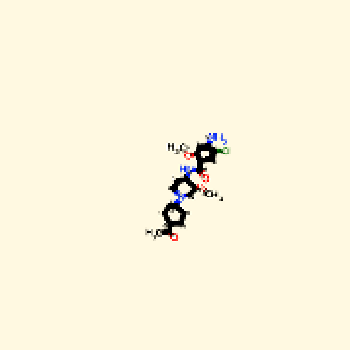 COc1cc(N)c(Cl)cc1C(=O)NC1CCN(C2CCC(C(C)=O)CC2)CC1OC